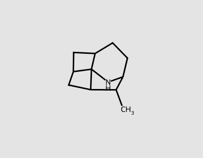 CC1C2CCC3CC4CC1C34N2